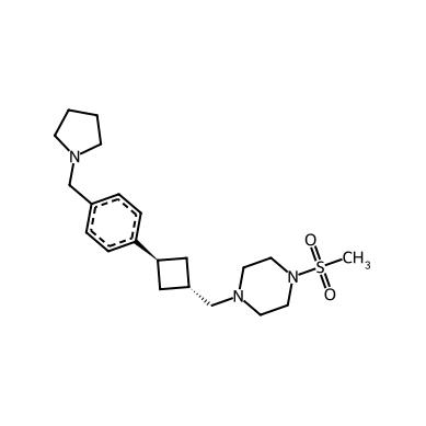 CS(=O)(=O)N1CCN(C[C@H]2C[C@H](c3ccc(CN4CCCC4)cc3)C2)CC1